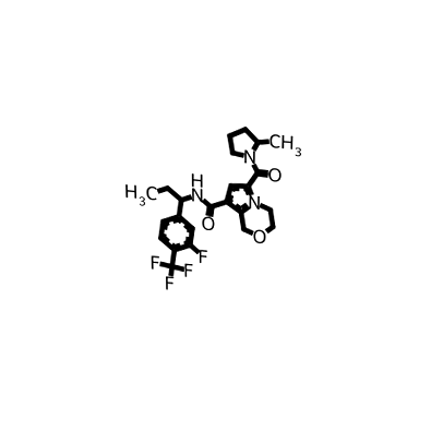 CCC(NC(=O)c1cc(C(=O)N2CCCC2C)n2c1COCC2)c1ccc(C(F)(F)F)c(F)c1